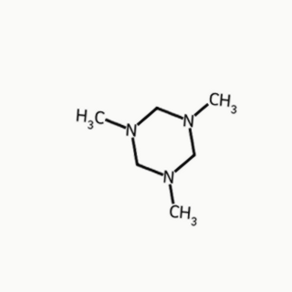 CN1CN(C)CN(C)C1